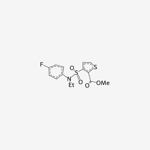 CCN(c1ccc(F)cc1)S(=O)(=O)c1ccsc1C(=O)OC